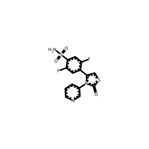 NS(=O)(=O)c1cc(F)c(-c2csc(=O)n2-c2cccnc2)cc1F